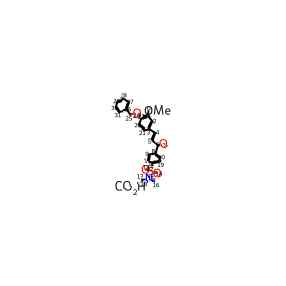 COc1cc(/C=C/C(=O)c2ccc(S(=O)(=O)N(C)CC(=O)O)cc2)ccc1OCc1ccccc1